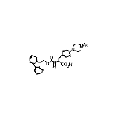 CC(=O)N1CCN(c2ccc(C[C@H](NC(=O)OCC3c4ccccc4-c4ccccc43)C(=O)O)cn2)CC1